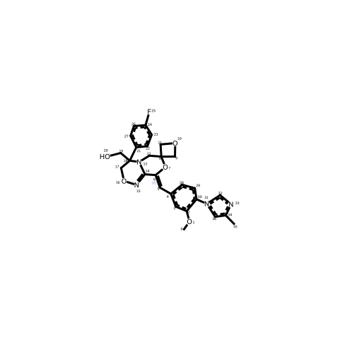 COc1cc(/C=C2\OC3(COC3)CN3C2=NOCC3(CO)c2ccc(F)cc2)ccc1-n1cnc(C)c1